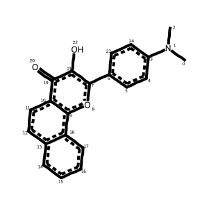 CN(C)c1ccc(-c2oc3c(ccc4ccccc43)c(=O)c2O)cc1